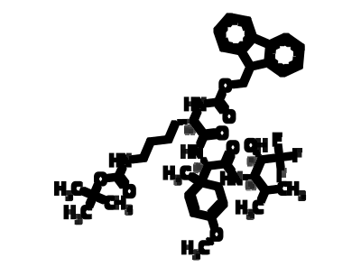 COC1=CCC(C)([C@H](NC(=O)[C@H](CCCCNC(=O)OC(C)(C)C)NC(=O)OCC2c3ccccc3-c3ccccc32)C(=O)N[C@@H](C(C)C)[C@H](O)C(F)(F)F)C=C1